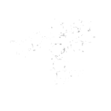 O=C(O)c1ccc(Oc2ccccc2C2(c3ccccc3Oc3ccc(C(=O)O)c(C(=O)O)c3)C3CC4CC(C3)CC2(C23CC5CC(CC(C5)C2)C3)C4)cc1C(=O)O